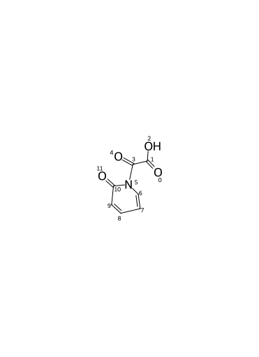 O=C(O)C(=O)n1ccccc1=O